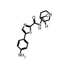 Nc1ccc(-c2cnc(C(=O)N[C@H]3CN4CCC3CC4)s2)cc1